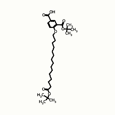 CC(C)(C)OC(=O)CCCCCCCCCCCCCCOc1ccc(C(=O)O)cc1C(=O)OC(C)(C)C